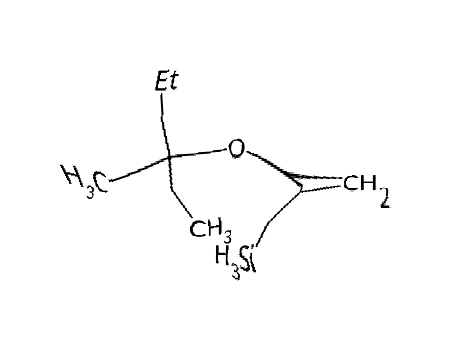 C=C([SiH3])OC(C)(C)CC